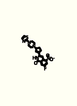 O=c1[nH]c(C2=CC(N3CCN(c4nccs4)CC3)CC2)cc2c([N+](=O)[O-])cc(F)cc12